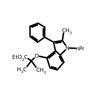 CCCn1c(C)c(-c2ccccc2)c2c(OC(C)(C)C(=O)OCC)cccc21